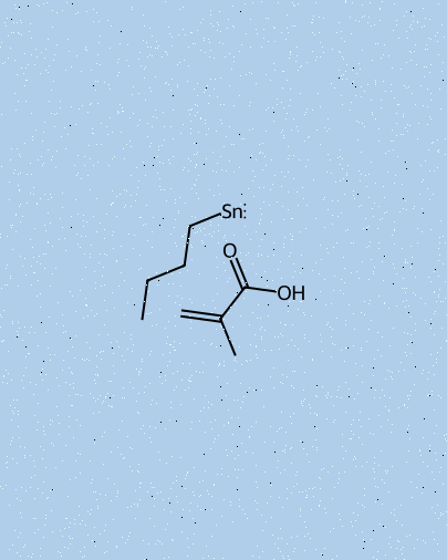 C=C(C)C(=O)O.CCC[CH2][Sn]